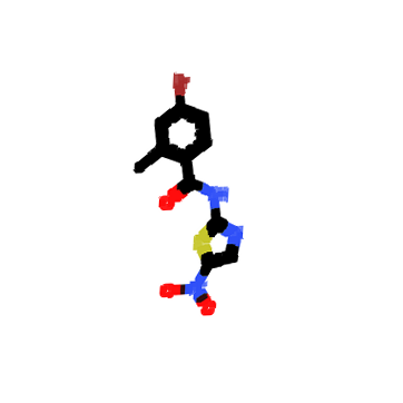 Cc1cc(Br)ccc1C(=O)Nc1ncc([N+](=O)[O-])s1